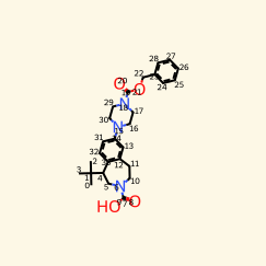 CC(C)(C)C1CN(C(=O)O)CCc2cc(N3CCN(C(=O)OCc4ccccc4)CC3)ccc21